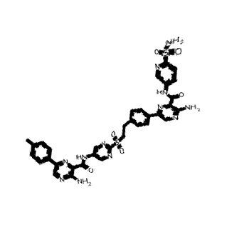 Cc1ccc(-c2cnc(N)c(C(=O)Nc3cnc(S(=O)(=O)CCc4ccc(-c5cnc(N)c(C(=O)Nc6ccc(S(N)(=O)=O)nc6)n5)cc4)nc3)n2)cc1